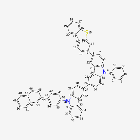 c1ccc(-n2c3ccc(-c4ccc5c(c4)sc4ccccc45)cc3c3cc(-c4ccc5c(c4)c4ccccc4n5-c4ccc(-c5ccc6ccccc6c5)cc4)ccc32)cc1